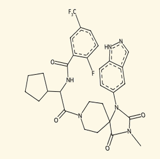 CN1C(=O)N(c2ccc3[nH]ncc3c2)C2(CCN(C(=O)C(NC(=O)c3cc(C(F)(F)F)ccc3F)C3CCCC3)CC2)C1=O